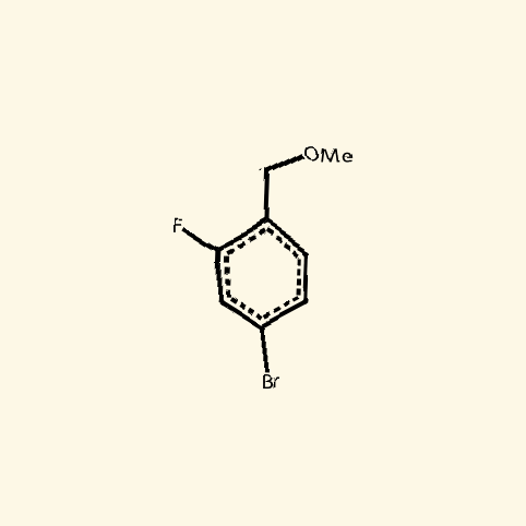 CO[CH]c1ccc(Br)cc1F